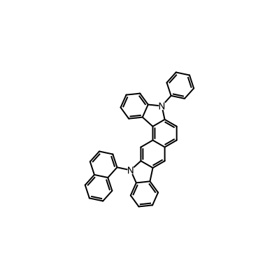 c1ccc(-n2c3ccccc3c3c4cc5c(cc4ccc32)c2ccccc2n5-c2cccc3ccccc23)cc1